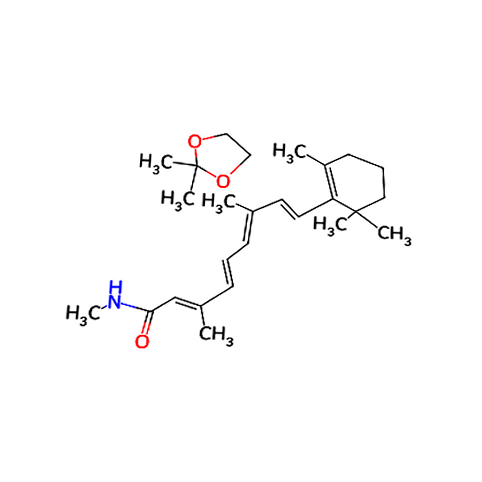 CC1(C)OCCO1.CNC(=O)C=C(C)C=CC=C(C)C=CC1=C(C)CCCC1(C)C